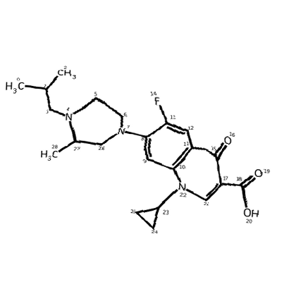 CC(C)CN1CCN(c2cc3c(cc2F)c(=O)c(C(=O)O)cn3C2CC2)CC1C